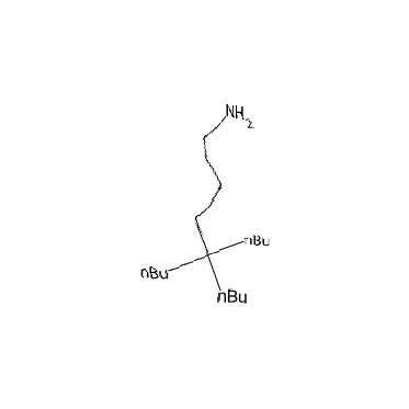 CCCCC(CCCC)(CCCC)CCCN